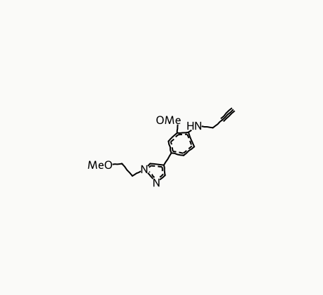 C#CCNc1ccc(-c2cnn(CCOC)c2)cc1OC